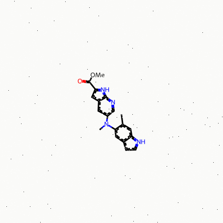 COC(=O)c1cc2cc(N(C)c3cc4cc[nH]c4cc3C)cnc2[nH]1